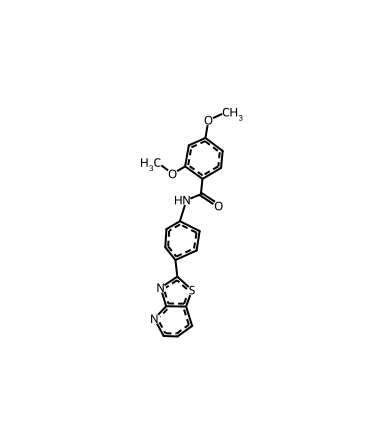 COc1ccc(C(=O)Nc2ccc(-c3nc4ncccc4s3)cc2)c(OC)c1